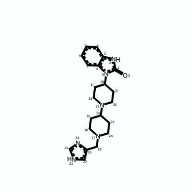 O=c1[nH]c2ccccc2n1C1CCN(C2CCN(Cc3c[nH]cn3)CC2)CC1